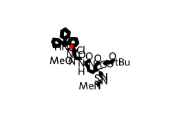 CNc1nnc(SC2=C(C(=O)OCOC(=O)C(C)(C)C)N3C(=O)C(NC(=O)C(=NOC)c4nc(NC(c5ccccc5)(c5ccccc5)c5ccccc5)sc4Cl)C3CC2)s1